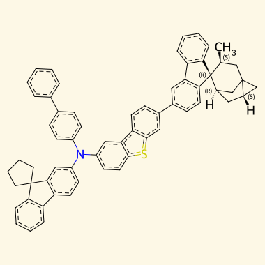 C[C@H]1CC23C[C@@H]2C[C@H](C3)[C@@]12c1ccccc1-c1cc(-c3ccc4c(c3)sc3ccc(N(c5ccc(-c6ccccc6)cc5)c5ccc6c(c5)C5(CCCC5)c5ccccc5-6)cc34)ccc12